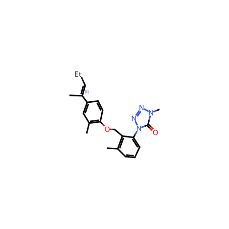 CC/C=C(\C)c1ccc(OCc2c(C)cccc2-n2nnn(C)c2=O)c(C)c1